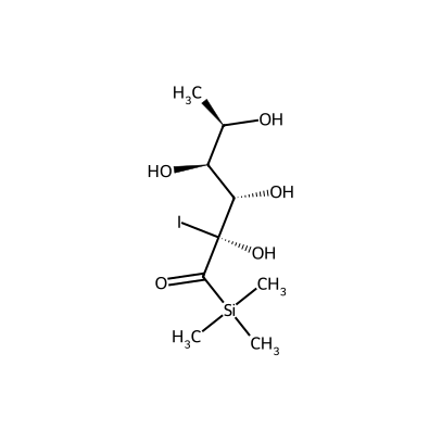 C[C@@H](O)[C@H](O)[C@H](O)[C@](O)(I)C(=O)[Si](C)(C)C